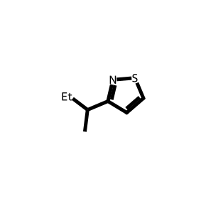 CCC(C)c1ccsn1